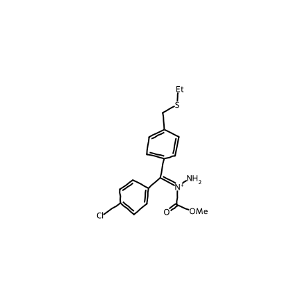 CCSCc1ccc(C(c2ccc(Cl)cc2)=[N+](N)C(=O)OC)cc1